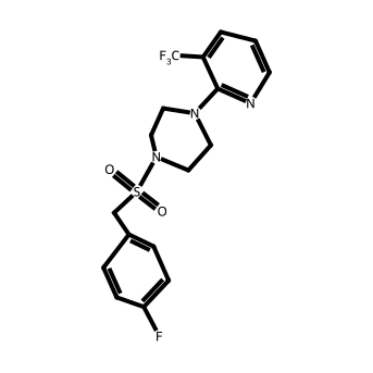 O=S(=O)(Cc1ccc(F)cc1)N1CCN(c2ncccc2C(F)(F)F)CC1